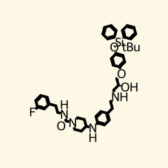 CC(C)(C)[Si](Oc1ccc(OC[C@@H](O)CNCCc2ccc(NC3CCN(C(=O)NCCc4cccc(F)c4)CC3)cc2)cc1)(c1ccccc1)c1ccccc1